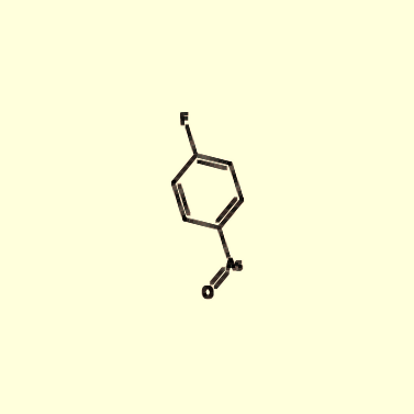 O=[As]c1ccc(F)cc1